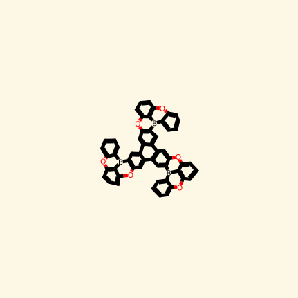 c1ccc2c(c1)Oc1cccc3c1B2c1cc2c(cc1O3)c1cc3c(cc1c1cc4c(cc21)Oc1cccc2c1B4c1ccccc1O2)Oc1cccc2c1B3c1ccccc1O2